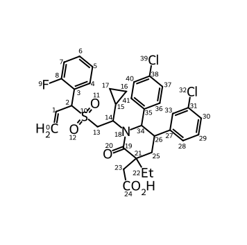 C=CC(c1ccccc1F)S(=O)(=O)CC(C1CC1)N1C(=O)C(CC)(CC(=O)O)CC(c2cccc(Cl)c2)C1c1ccc(Cl)cc1